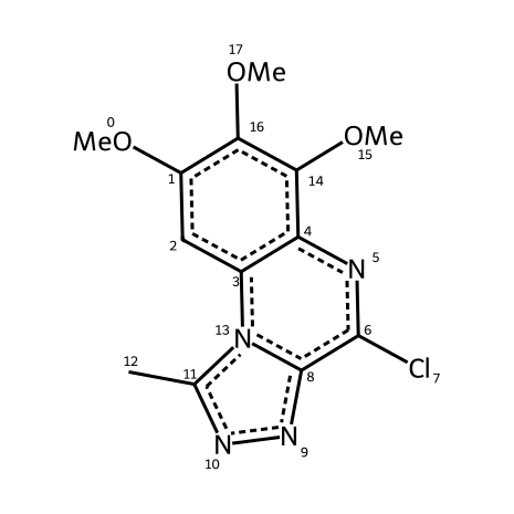 COc1cc2c(nc(Cl)c3nnc(C)n32)c(OC)c1OC